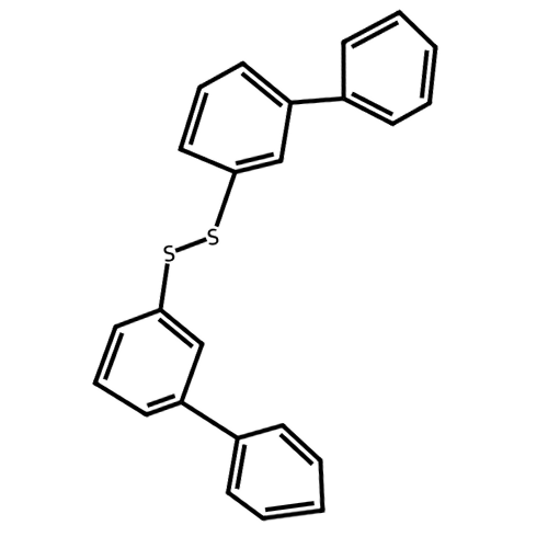 c1ccc(-c2cccc(SSc3cccc(-c4ccccc4)c3)c2)cc1